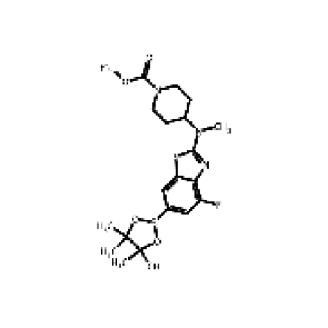 CN(c1nc2c(F)cc(B3OC(C)(C)C(C)(C)O3)cc2s1)C1CCN(C(=O)OC(C)(C)C)CC1